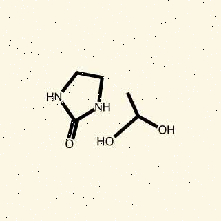 CC(O)O.O=C1NCCN1